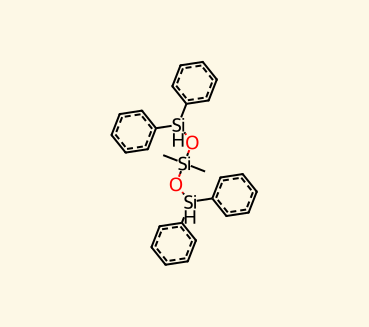 C[Si](C)(O[SiH](c1ccccc1)c1ccccc1)O[SiH](c1ccccc1)c1ccccc1